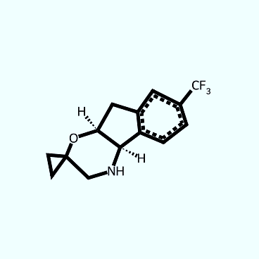 FC(F)(F)c1ccc2c(c1)C[C@@H]1OC3(CC3)CN[C@H]21